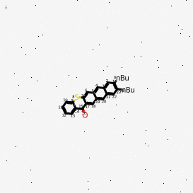 CCCCc1cc2cc3cc4sc5ccccc5c(=O)c4cc3cc2cc1CCCC